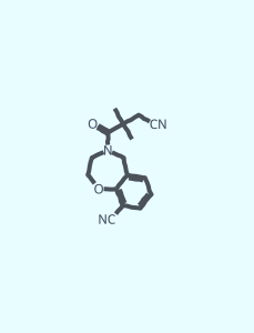 CC(C)(CC#N)C(=O)N1CCOc2c(C#N)cccc2C1